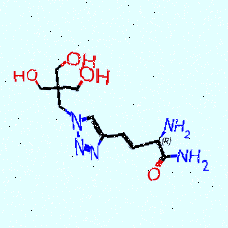 NC(=O)[C@H](N)CCc1cn(CC(CO)(CO)CO)nn1